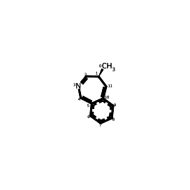 C[C@@H]1C=NC=c2ccccc2=C1